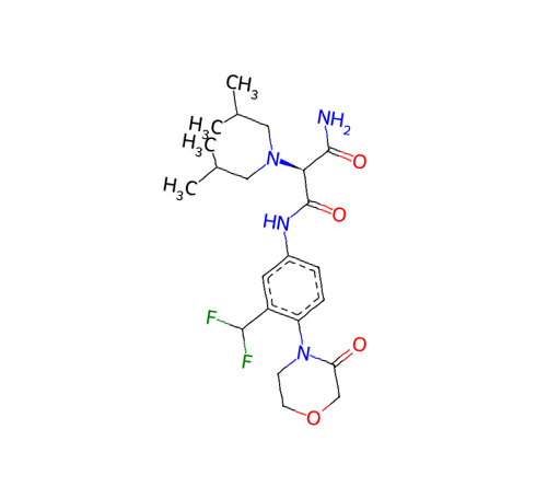 CC(C)CN(CC(C)C)[C@@H](C(N)=O)C(=O)Nc1ccc(N2CCOCC2=O)c(C(F)F)c1